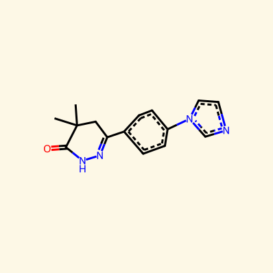 CC1(C)CC(c2ccc(-n3ccnc3)cc2)=NNC1=O